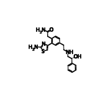 NC(=O)Cc1ccc(CCNC[C@H](O)c2ccccc2)cc1-c1csc(N)n1